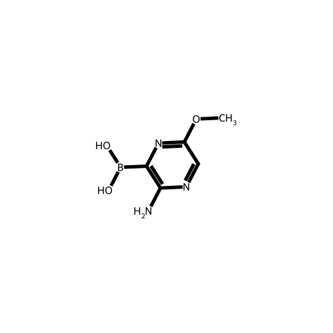 COc1cnc(N)c(B(O)O)n1